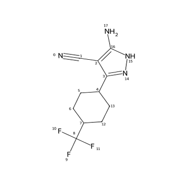 N#Cc1c(C2CCC(C(F)(F)F)CC2)n[nH]c1N